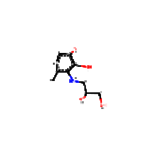 Cc1ccc(O)c(O)c1NCC(O)CO